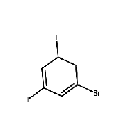 BrC1=CC(I)=CC(I)C1